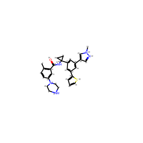 Cc1ccc(N2CCNCC2)cc1C(=O)NC1(c2cc(-c3cnn(C)c3)cc(-c3cccs3)c2)CC1